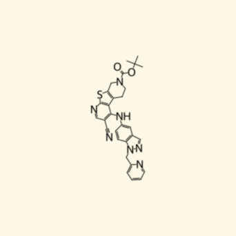 CC(C)(C)OC(=O)N1CCc2c(sc3ncc(C#N)c(Nc4ccc5c(cnn5Cc5ccccn5)c4)c23)C1